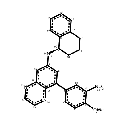 COc1ccc(-c2cc(N[C@@H]3CCCc4ccccc43)cc3nccnc23)cc1[N+](=O)[O-]